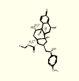 Cc1ccc(N(O)C[C@@H]2C[C@H]3[C@@H]4C[C@H](F)C5=CC(=O)C=C[C@]5(C)[C@@]4(F)[C@@H](O)C[C@]3(C)[C@H]2C(=O)SCF)cc1